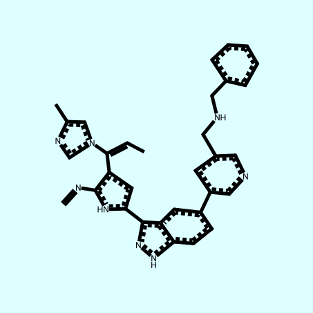 C=Nc1[nH]c(-c2n[nH]c3ccc(-c4cncc(CNCc5ccccc5)c4)cc23)cc1/C(=C\C)n1cnc(C)c1